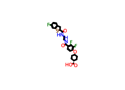 O=C(NCCNC(=O)C1Cc2ccc(F)cc2S1)c1ccc(O[C@H]2CC[C@@H](C(=O)O)CC2)c(F)c1F